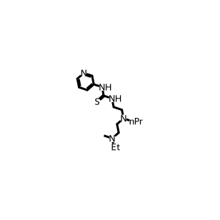 CCCN(CCNC(=S)Nc1cccnc1)CCN(C)CC